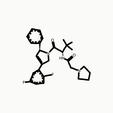 CC(C)(C)[C@H](NC(=O)CN1CCCC1)C(=O)N1CC(c2cc(F)ccc2F)=C[C@H]1c1ccccc1